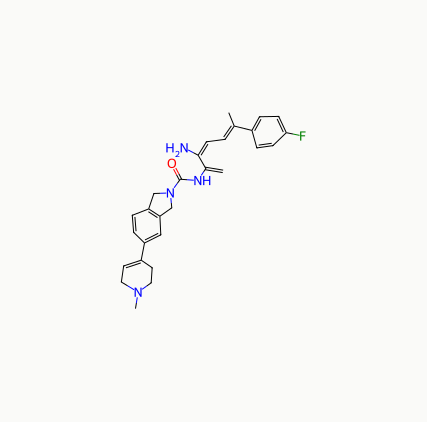 C=C(NC(=O)N1Cc2ccc(C3=CCN(C)CC3)cc2C1)/C(N)=C\C=C(/C)c1ccc(F)cc1